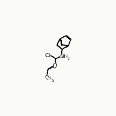 CCOC(Cl)[SiH2]C1CC2C=CC1C2